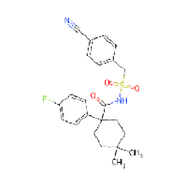 CC1(C)CCC(C(=O)NS(=O)(=O)Cc2ccc(C#N)cc2)(c2ccc(F)cc2)CC1